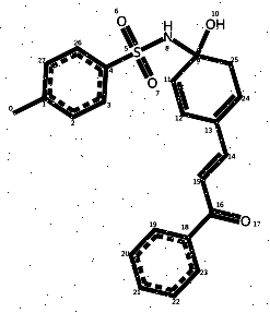 Cc1ccc(S(=O)(=O)NC2(O)C=CC(C=CC(=O)c3ccccc3)=CC2)cc1